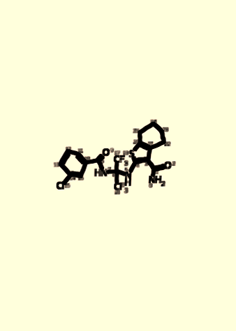 NC(=O)c1c(NC(NC(=O)c2cccc(Cl)c2)(C(F)(F)F)C(F)(F)F)sc2c1CCCC2